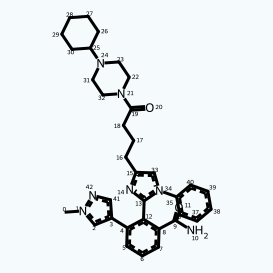 Cn1cc(-c2cccc(C(N)=O)c2-c2nc(CCCC(=O)N3CCN(C4CCCCC4)CC3)cn2-c2ccccc2)cn1